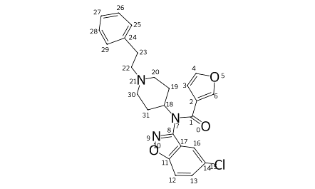 O=C(c1ccoc1)N(c1noc2ccc(Cl)cc12)C1CCN(CCc2ccccc2)CC1